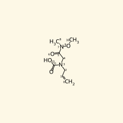 C=CCN(CC(=O)N(C)OC)C(=O)O